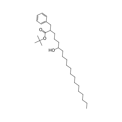 CCCCCCCCCCCCCCC(O)CCCC(Cc1ccccc1)C(=O)OC(C)(C)C